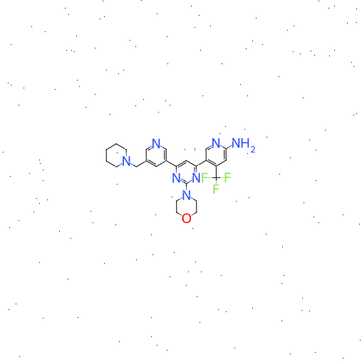 Nc1cc(C(F)(F)F)c(-c2cc(-c3cncc(CN4CCCCC4)c3)nc(N3CCOCC3)n2)cn1